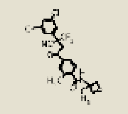 Cc1cc(C(=O)C[C@](C#N)(c2cc(Cl)cc(Cl)c2)C(F)(F)F)ccc1C(=O)NC1(C)CSC1